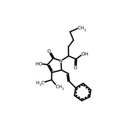 CCCCC(C(=O)O)N1C(=O)C(O)=C(C(C)C)C1C=Cc1ccccc1